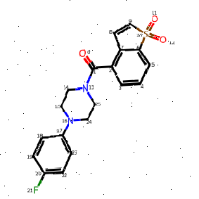 O=C(c1cccc2c1C=CS2(=O)=O)N1CCN(c2ccc(F)cc2)CC1